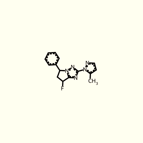 Cc1ccnn1-c1nc2n(n1)C(c1ccccc1)CC2F